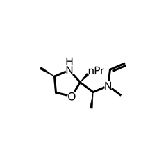 C=CN(C)[C@@H](C)[C@@]1(CCC)N[C@H](C)CO1